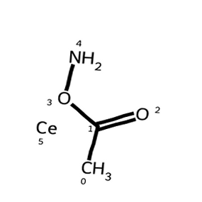 CC(=O)ON.[Ce]